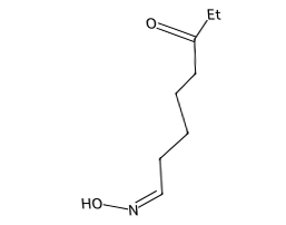 CCC(=O)CCCC/C=N\O